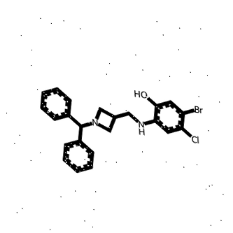 Oc1cc(Br)c(Cl)cc1NCC1CN(C(c2ccccc2)c2ccccc2)C1